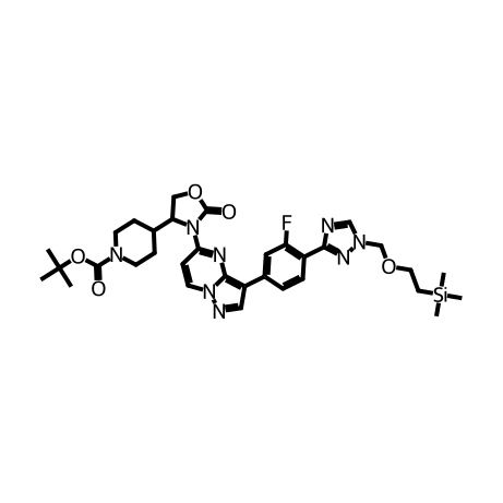 CC(C)(C)OC(=O)N1CCC(C2COC(=O)N2c2ccn3ncc(-c4ccc(-c5ncn(COCC[Si](C)(C)C)n5)c(F)c4)c3n2)CC1